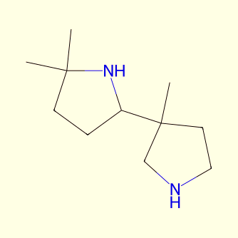 CC1(C)CCC(C2(C)CCNC2)N1